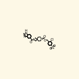 CS(=O)(=O)c1ccc(COC(=O)N2CCC3(CC2)CN(C(=O)c2ccc4[nH]nnc4c2)C3)c(Cl)c1